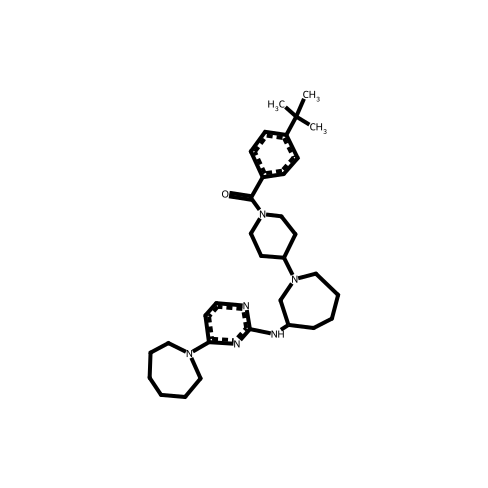 CC(C)(C)c1ccc(C(=O)N2CCC(N3CCCCC(Nc4nccc(N5CCCCCC5)n4)C3)CC2)cc1